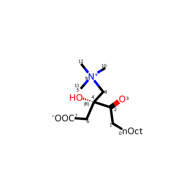 CCCCCCCCCC(=O)[C@@](O)(CC(=O)[O-])C[N+](C)(C)C